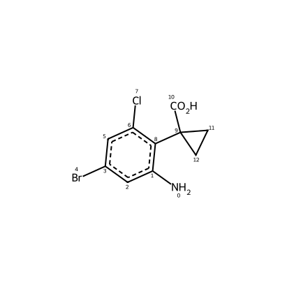 Nc1cc(Br)cc(Cl)c1C1(C(=O)O)CC1